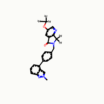 [2H]C([2H])([2H])Oc1cnc2c(c1)C(=O)N(Cc1ccc(-c3cccc4nn(C)cc34)cc1)C2([2H])[2H]